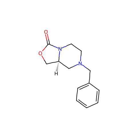 O=C1OC[C@@H]2CN(Cc3ccccc3)CCN12